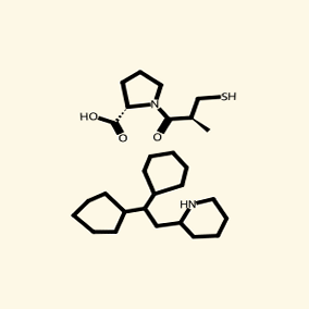 C1CCC(C(CC2CCCCN2)C2CCCCC2)CC1.C[C@H](CS)C(=O)N1CCC[C@H]1C(=O)O